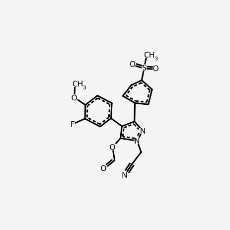 COc1ccc(-c2c(-c3ccc(S(C)(=O)=O)cc3)nn(CC#N)c2OC=O)cc1F